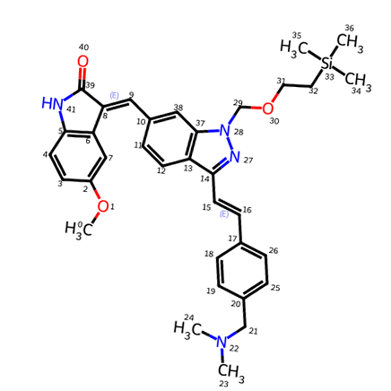 COc1ccc2c(c1)/C(=C\c1ccc3c(/C=C/c4ccc(CN(C)C)cc4)nn(COCC[Si](C)(C)C)c3c1)C(=O)N2